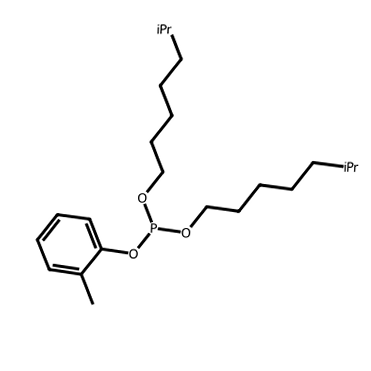 Cc1ccccc1OP(OCCCCCC(C)C)OCCCCCC(C)C